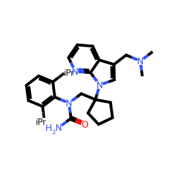 CC(C)c1cccc(C(C)C)c1N(CC1(n2cc(CN(C)C)c3cccnc32)CCCC1)C(N)=O